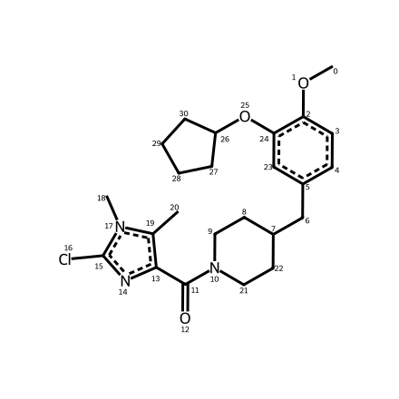 COc1ccc(CC2CCN(C(=O)c3nc(Cl)n(C)c3C)CC2)cc1OC1CCCC1